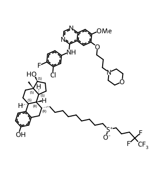 COc1cc2ncnc(Nc3ccc(F)c(Cl)c3)c2cc1OCCCN1CCOCC1.C[C@]12CC[C@@H]3c4ccc(O)cc4C[C@@H](CCCCCCCCC[S+]([O-])CCCC(F)(F)C(F)(F)F)[C@H]3[C@@H]1CC[C@@H]2O